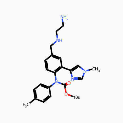 Cn1cnc(-c2cc(CNCCN)ccc2N(C(=O)OC(C)(C)C)c2ccc(C(F)(F)F)cc2)c1